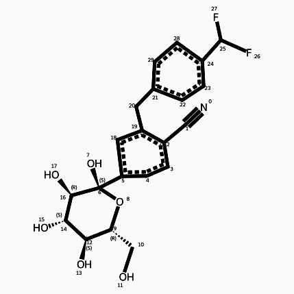 N#Cc1ccc([C@]2(O)O[C@H](CO)[C@@H](O)[C@H](O)[C@H]2O)cc1Cc1ccc(C(F)F)cc1